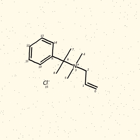 C=CC[N+](C)(C)C(C)(C)c1ccccc1.[Cl-]